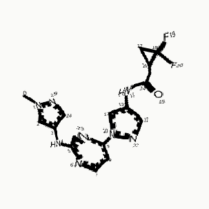 Cn1cc(Nc2nccc(-n3cc(NC(=O)C4CC4(F)F)cn3)n2)cn1